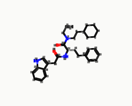 O=C(O)CN(CCC1CCCCC1)C(=O)[C@H](CCc1ccccc1)NC(=O)Cc1c[nH]c2ccccc12